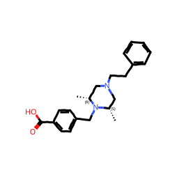 C[C@@H]1CN(CCc2ccccc2)C[C@H](C)N1Cc1ccc(C(=O)O)cc1